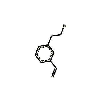 C=Cc1cccc(CCBr)c1